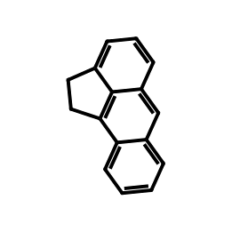 c1ccc2c3c4c(cccc4cc2c1)CC3